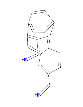 N=Cc1ccc2c3c(C=N)c(cc2c1)-c1ccc-3cc1